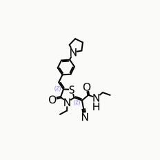 CCNC(=O)/C(C#N)=c1\s/c(=C\c2ccc(N3CCCC3)cc2)c(=O)n1CC